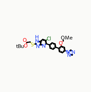 COCOc1cc(-n2cncn2)ccc1-c1ccc(-c2nc3nc(SCC(=O)OC(C)(C)C)[nH]c3cc2Cl)cc1